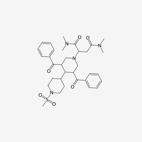 CN(C)C(=O)CC(C(=O)N(C)C)N1CC(C(=O)c2ccccc2)C(C2CCN(S(C)(=O)=O)CC2)C(C(=O)c2ccccc2)C1